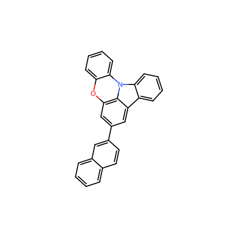 c1ccc2c(c1)Oc1cc(-c3ccc4ccccc4c3)cc3c4ccccc4n-2c13